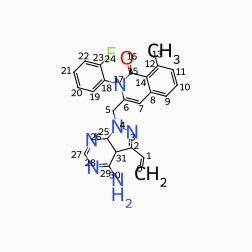 C=CC1=NN(Cc2cc3cccc(C)c3c(=O)n2-c2ccccc2F)C2N=CN=C(N)C12